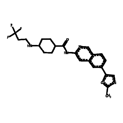 Cc1ncc(-c2ccc3cnc(NC(=O)C4CCC(NCCC(F)(F)F)CC4)cc3c2)o1